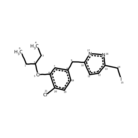 CCC(CC)Oc1cc(Cc2ccc(CI)nn2)ccc1Cl